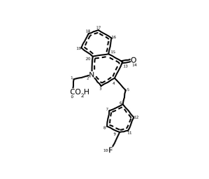 O=C(O)Cn1cc(Cc2ccc(F)cc2)c(=O)c2ccccc21